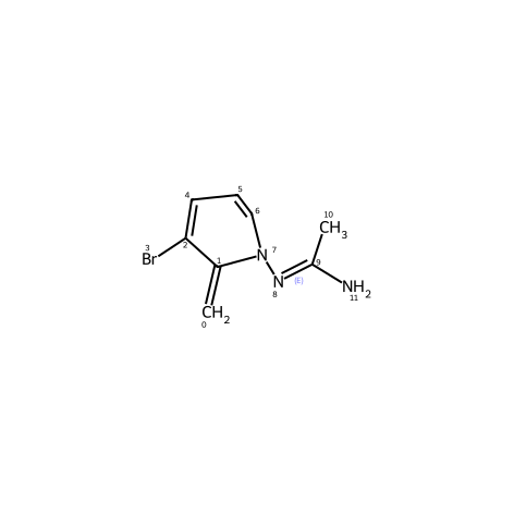 C=C1C(Br)=CC=CN1/N=C(\C)N